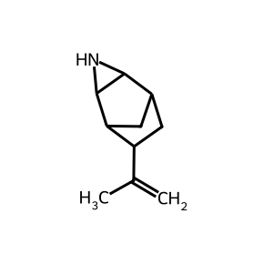 C=C(C)C1CC2CC1C1NC21